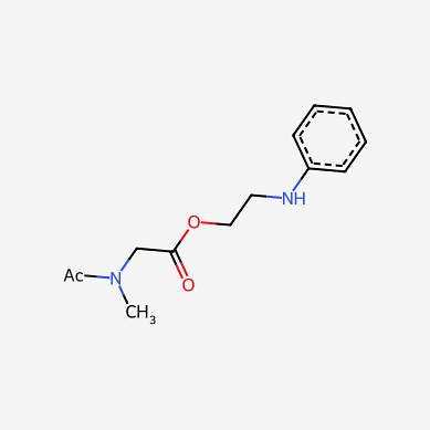 CC(=O)N(C)CC(=O)OCCNc1ccccc1